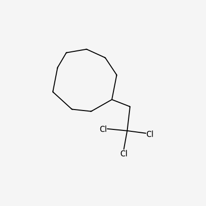 ClC(Cl)(Cl)CC1CCCCCCCC1